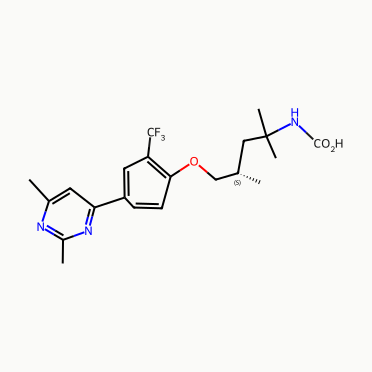 Cc1cc(-c2ccc(OC[C@@H](C)CC(C)(C)NC(=O)O)c(C(F)(F)F)c2)nc(C)n1